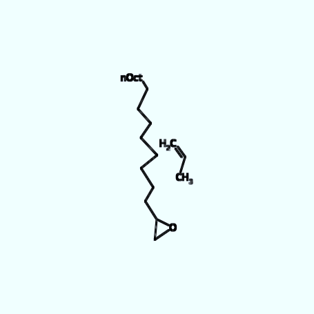 C=CC.CCCCCCCCCCCCCCCCC1CO1